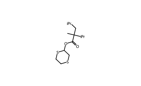 CC(C)CC(C)(C(=O)OC1CSCCS1)C(C)C